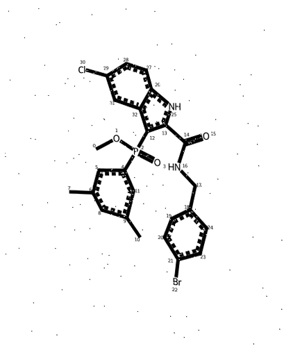 COP(=O)(c1cc(C)cc(C)c1)c1c(C(=O)NCc2ccc(Br)cc2)[nH]c2ccc(Cl)cc12